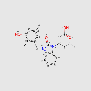 CCCC(CC(=O)O)n1c(=O)n(Cc2cc(C)cc(O)c2C)c2ccccc21